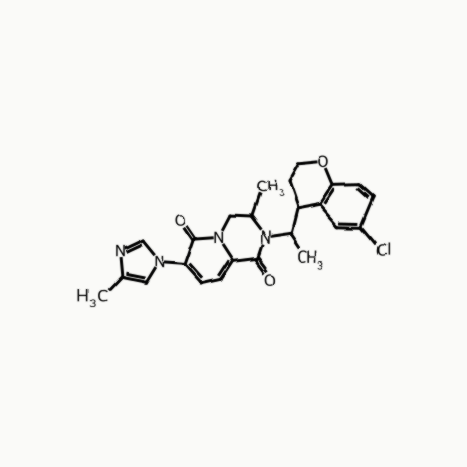 Cc1cn(-c2ccc3n(c2=O)CC(C)N(C(C)C2CCOc4ccc(Cl)cc42)C3=O)cn1